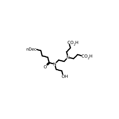 CCCCCCCCCCCCCC(=O)N(CCO)CCN(CCC(=O)O)CCC(=O)O